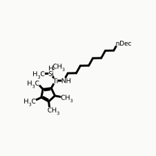 CCCCCCCCCCCCCCCCCC[NH][Ti]([C]1=C(C)C(C)=C(C)C1C)[SiH](C)C